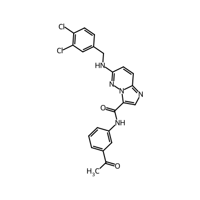 CC(=O)c1cccc(NC(=O)c2cnc3ccc(NCc4ccc(Cl)c(Cl)c4)nn23)c1